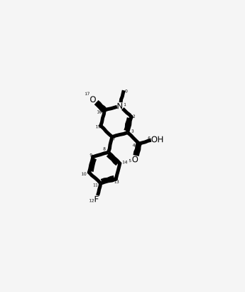 CN1C=C(C(=O)O)C(c2ccc(F)cc2)CC1=O